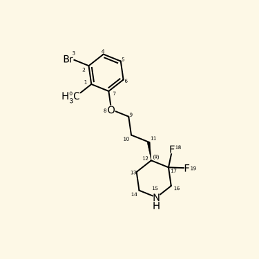 Cc1c(Br)cccc1OCCC[C@@H]1CCNCC1(F)F